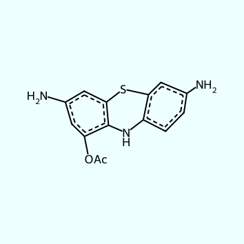 CC(=O)Oc1cc(N)cc2c1Nc1ccc(N)cc1S2